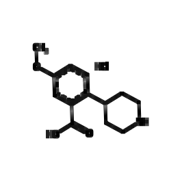 COc1ccc(C2CCNCC2)c(C(=O)O)c1.Cl